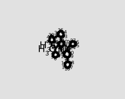 CC1(C)c2ccccc2N2c3cc(-c4ccccc4)ccc3N(c3ccccc3)c3cc(-c4ccccc4-c4ccccc4)cc1c32